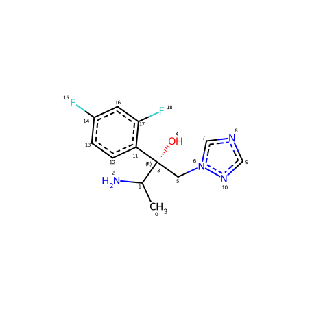 CC(N)[C@](O)(Cn1cncn1)c1ccc(F)cc1F